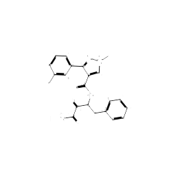 Cc1cccc(-c2nn(C)cc2C(=O)NC(Cc2ccccc2)C(=O)C(N)=O)c1